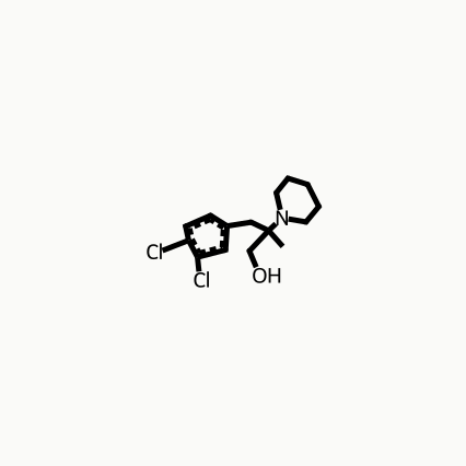 CC(CO)(Cc1ccc(Cl)c(Cl)c1)N1CCCCC1